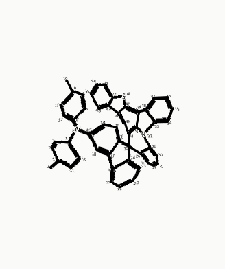 Cc1ccc(N(c2ccc(C)cc2)c2ccc3c(c2)-c2ccccc2C32c3ccccc3-n3c4ccccc4c4c5sc6ccccc6c5cc2c43)cc1